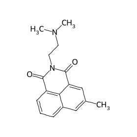 Cc1cc2c3c(cccc3c1)C(=O)N(CCN(C)C)C2=O